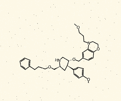 COCCCN1CCOc2ccc(CO[C@H]3CN[C@H](COCCCc4ccccc4)C[C@@H]3c3ccc(OC)cc3)cc21